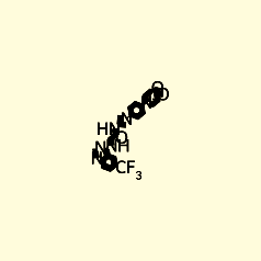 O=C(CNc1ncnc2ccc(C(F)(F)F)cc12)NC1CN([C@H]2CC[C@H](N3CCS(=O)(=O)CC3)CC2)C1